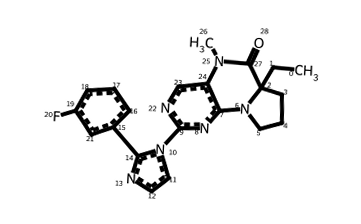 CCC12CCCN1c1nc(-n3ccnc3-c3cccc(F)c3)ncc1N(C)C2=O